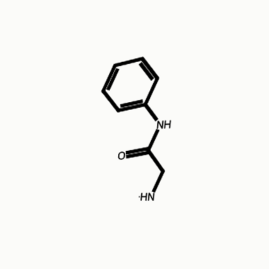 [NH]CC(=O)Nc1ccccc1